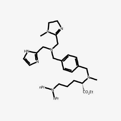 CCCN(CCC)CCC[C@@H](C(=O)OCC)N(C)Cc1ccc(CN(CC2=NCCN2C)Cc2ncc[nH]2)cc1